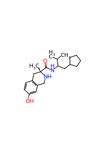 CC(C)C(CC1CCCC1)NC(=O)[C@@]1(C)Cc2ccc(O)cc2CN1